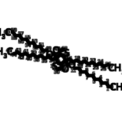 CCCCCCCCCCCCOC(=O)C1(CCCCCCCCCCCC)c2ccsc2C(CCCCCCCCCCCC)(C(=O)OCCCCCCCCCCCC)c2ccsc21